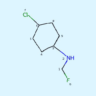 FCNC1CCC(Cl)CC1